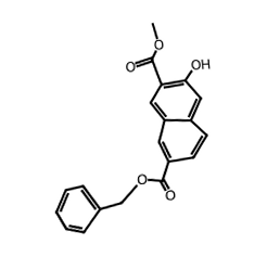 COC(=O)c1cc2cc(C(=O)OCc3ccccc3)ccc2cc1O